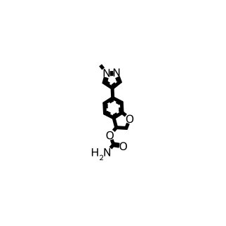 Cn1cc(-c2ccc3c(c2)OCC3OC(N)=O)cn1